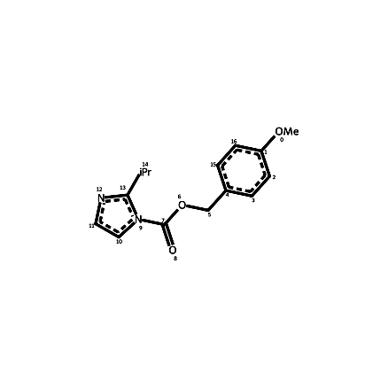 COc1ccc(COC(=O)n2ccnc2C(C)C)cc1